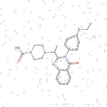 CCOc1ccc(-n2c(C(C)N3CCN(C(=O)O)CC3)nc3ccccc3c2=O)cc1